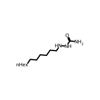 CCCCCCCCCCCCNNC(N)=O